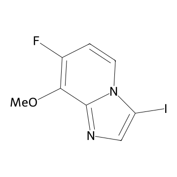 COc1c(F)ccn2c(I)cnc12